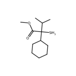 COC(=O)C([SiH3])(C(C)C)C1CCCCC1